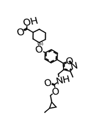 Cc1noc(-c2ccc(O[C@H]3CCCC(C(=O)O)C3)cc2)c1CNC(=O)OCC1CC1C